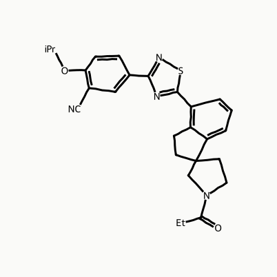 CCC(=O)N1CCC2(CCc3c(-c4nc(-c5ccc(OC(C)C)c(C#N)c5)ns4)cccc32)C1